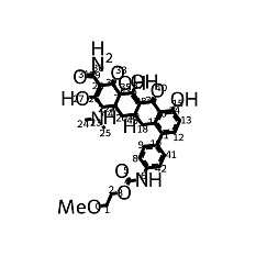 COCCOC(=O)Nc1ccc(-c2ccc(O)c3c2C[C@H]2C[C@H]4[C@@H](N(C)C)C(O)=C(C(N)=O)C(=O)[C@@]4(O)C(O)=C2C3=O)cc1